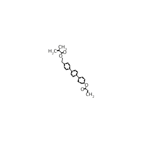 C=CC(=O)Oc1ccc(-c2ccc(-c3ccc(CCOC(=O)C(=C)C)cc3)cc2)cc1